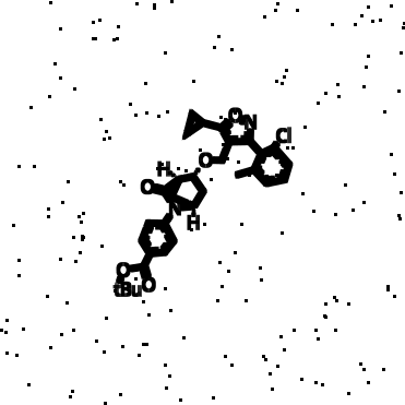 Cc1cccc(Cl)c1-c1noc(C2CC2)c1CO[C@@H]1C[C@@H]2C[C@H]1C(=O)N2c1ccc(C(=O)OC(C)(C)C)cc1